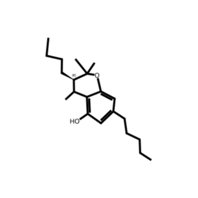 CCCCCc1cc(O)c2c(c1)OC(C)(C)[C@H](CCCC)C2C